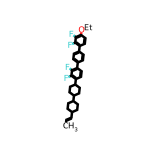 C/C=C/C1CCC(C2CCC(c3ccc(-c4ccc(-c5ccc(OCC)c(F)c5F)cc4)c(F)c3F)CC2)CC1